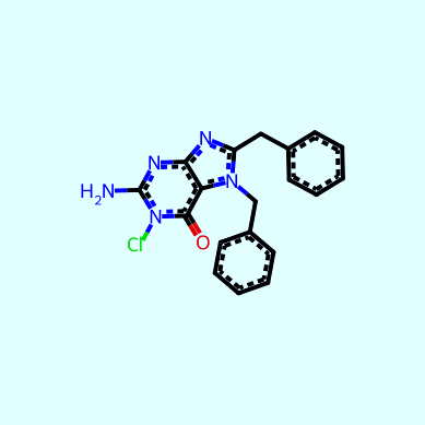 Nc1nc2nc(Cc3ccccc3)n(Cc3ccccc3)c2c(=O)n1Cl